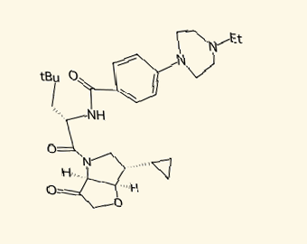 CCN1CCN(c2ccc(C(=O)N[C@@H](CC(C)(C)C)C(=O)N3C[C@H](C4CC4)[C@H]4OCC(=O)[C@H]43)cc2)CC1